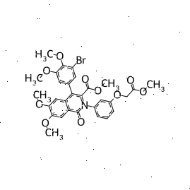 COC(=O)COc1cccc(-n2c(C(=O)OC)c(-c3cc(Br)c(OC)c(OC)c3)c3cc(OC)c(OC)cc3c2=O)c1